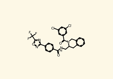 O=C(NCC1Cc2ccccc2CN1C(=O)c1cc(Cl)cc(Cl)c1)c1ccc(-c2noc(C(F)(F)F)n2)cc1